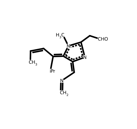 C=N/C=c1/nc(CC=O)n(C)/c1=C(\C=C/C)C(C)C